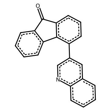 O=C1c2ccccc2-c2c1cccc2-c1cnc2ccccc2c1